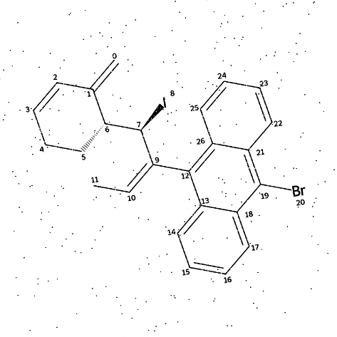 C=C1C=CCC[C@H]1[C@@H](I)/C(=C\C)c1c2ccccc2c(Br)c2ccccc12